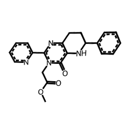 COC(=O)Cn1c(-c2ccccn2)nc2c(c1=O)NC(c1ccccc1)CC2